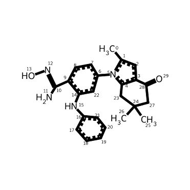 Cc1cc2c(n1-c1ccc(/C(N)=N/O)c(Nc3ccccc3)c1)CC(C)(C)CC2=O